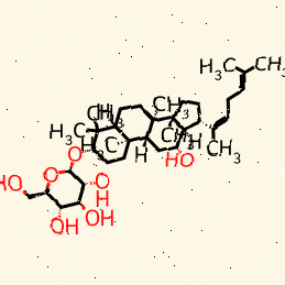 CC(C)=CC/C=C(/C)[C@H]1CC[C@]2(C)[C@@H]1[C@H](O)C[C@@H]1[C@@]3(C)CC[C@H](O[C@@H]4O[C@H](CO)[C@@H](O)[C@H](O)[C@H]4O)C(C)(C)[C@@H]3CC[C@]12C